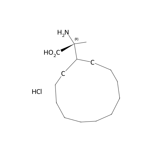 C[C@](N)(C(=O)O)C1CCCCCCCCCCC1.Cl